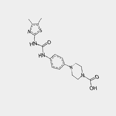 Cc1nc(NC(=O)Nc2ccc(N3CCN(C(=O)O)CC3)cc2)sc1C